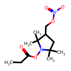 CCC(=O)ON1C(C)(C)CC(CO[N+](=O)[O-])C1(C)C